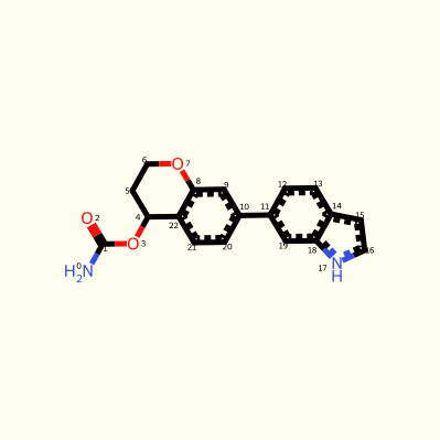 NC(=O)OC1CCOc2cc(-c3ccc4cc[nH]c4c3)ccc21